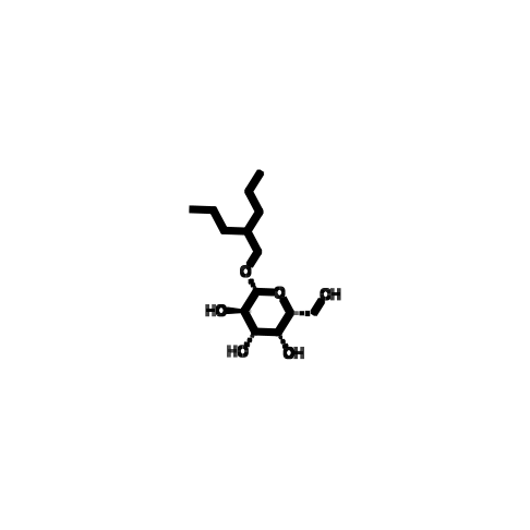 CCCC(CCC)CO[C@@H]1O[C@H](CO)[C@H](O)[C@H](O)[C@H]1O